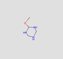 COC1NCNCN1